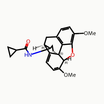 COC1=CC=C2[C@H]3Cc4ccc(OC)c5c4[C@@]2(CCC3NC(=O)C2CC2)[C@H]1O5